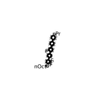 CCCCCCCCOc1ccc(-c2ccc(-c3ccc(C4=CCC(C5CCC(CCC)CC5)CC4)cc3F)cc2)c(F)c1F